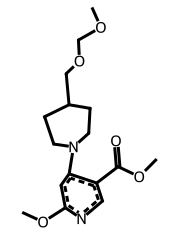 COCOCC1CCN(c2cc(OC)ncc2C(=O)OC)CC1